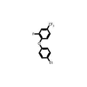 CCc1ccc(Oc2ccc(C(F)(F)F)cc2F)cc1